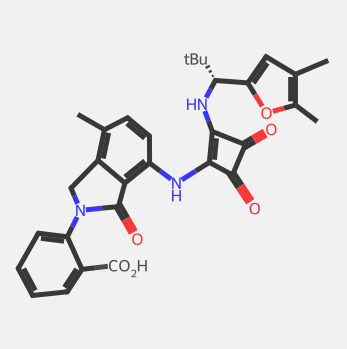 Cc1cc([C@H](Nc2c(Nc3ccc(C)c4c3C(=O)N(c3ccccc3C(=O)O)C4)c(=O)c2=O)C(C)(C)C)oc1C